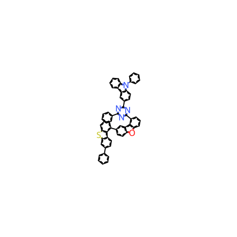 c1ccc(-c2ccc3c(c2)sc2cccc(-c4ccc5oc6cccc(-c7nc(-c8ccccc8)nc(-c8ccc9c(c8)c8ccccc8n9-c8ccccc8)n7)c6c5c4)c23)cc1